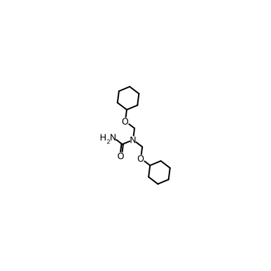 NC(=O)N(COC1CCCCC1)COC1CCCCC1